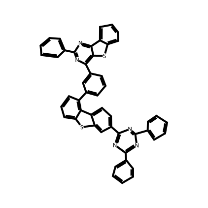 c1ccc(-c2nc(-c3ccccc3)nc(-c3ccc4c(c3)sc3cccc(-c5cccc(-c6nc(-c7ccccc7)nc7c6sc6ccccc67)c5)c34)n2)cc1